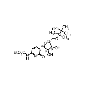 CCCC(C)(C)[Si](C)(C)OC[C@H]1O[C@@H](n2ccc(NC(=O)OCC)nc2=O)[C@H](O)[C@@H]1O